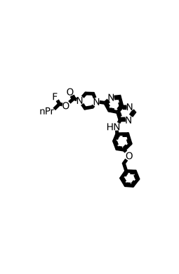 CCCC(F)OC(=O)N1CCN(c2cc3c(Nc4ccc(OCc5ccccc5)cc4)ncnc3cn2)CC1